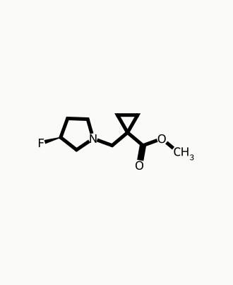 COC(=O)C1(CN2CC[C@H](F)C2)CC1